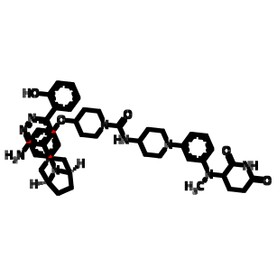 CN(c1cccc(N2CCC(NC(=O)N3CCC(Oc4cccc(N5[C@@H]6CC[C@H]5CN(c5cc(-c7ccccc7O)nnc5N)C6)c4)CC3)CC2)c1)C1CCC(=O)NC1=O